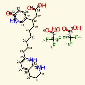 O=C(O)C(F)(F)F.O=C(O)C(F)(F)F.O=C(O)CC(CCCCCCC1=CC=C2CCCNC2N1)c1ccc(=O)[nH]c1